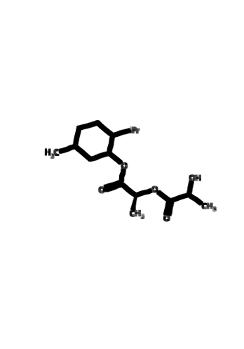 CC1CCC(C(C)C)C(OC(=O)[C@H](C)OC(=O)C(C)O)C1